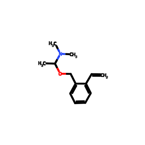 C=Cc1ccccc1COC(C)N(C)C